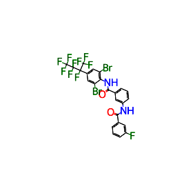 O=C(Nc1cccc(C(=O)Nc2c(Br)cc(C(F)(C(F)(F)F)C(F)(F)C(F)(F)F)cc2Br)c1)c1cccc(F)c1